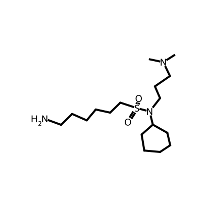 CN(C)CCCN(C1CCCCC1)S(=O)(=O)CCCCCCN